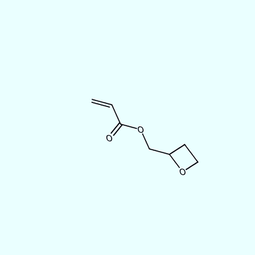 C=CC(=O)OCC1CCO1